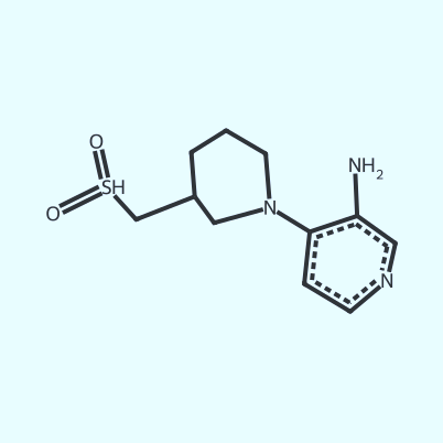 Nc1cnccc1N1CCCC(C[SH](=O)=O)C1